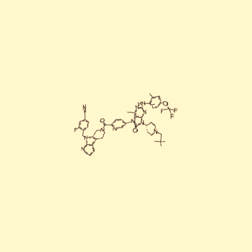 Cc1cc(OC(F)(F)F)ccc1Nc1nc(C)c2c(n1)n(C1CCN(CC(C)(C)C)CC1)c(=O)n2-c1ccc(C(=O)N2CCc3c(n(Cc4ccc(C#N)cc4F)c4ncccc34)C2)nc1